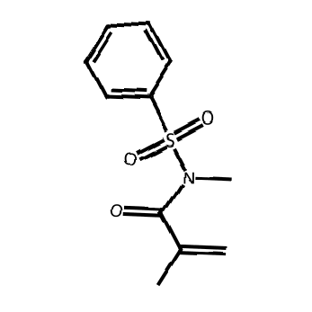 C=C(C)C(=O)N(C)S(=O)(=O)c1ccccc1